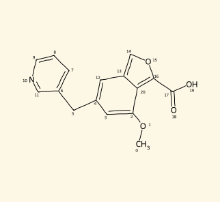 COc1cc(Cc2cccnc2)cc2coc(C(=O)O)c12